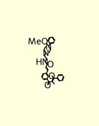 COc1ccccc1N1CCN(CCNC(=O)C=Cc2cccc3c(=O)c(C)c(-c4ccccc4)oc23)CC1